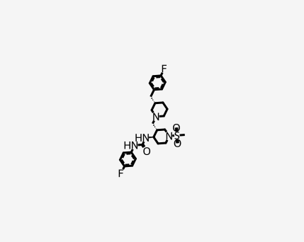 CS(=O)(=O)N1CC[C@@H](NC(=O)Nc2ccc(F)cc2)[C@H](CN2CCC[C@@H](Cc3ccc(F)cc3)C2)C1